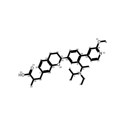 CCN(C(C)C)C(C)c1cc([C@@H]2CCc3ccc(CC(C)C(=O)O)cc3O2)ccc1-c1ccnc(OC)c1